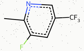 Cc1ncc(C(F)(F)F)cc1F